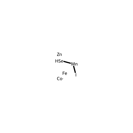 [Co].[Fe].[SeH][Mn][I].[Zn]